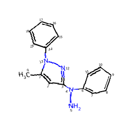 Cc1cc(N(N)c2ccccc2)nn1-c1ccccc1